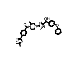 Cc1nc(-c2ccc(C(=O)N3CCN(c4nc(C(O)c5ccc(Oc6ccccc6)cc5)ns4)CC3C)cc2)no1